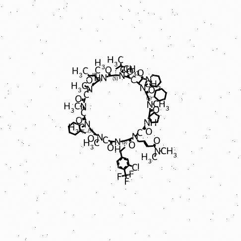 CC[C@H](C)[C@@H]1NC(=O)[C@H](CC(C)C)N(C)C(=O)CC(C(=O)N2CCCCC2)N(C)C(=O)[C@H](C2CCCCC2)N(C)C(=O)C2(CCCC2)NC(=O)CN(CC=CC(=O)N(C)C)C(=O)[C@H](CCc2ccc(C(F)(F)F)c(Cl)c2)NC(=O)CN(C)C(=O)[C@H](CC2CCCCC2)N(C)C(=O)CN(C)C(=O)CN(C)C1=O